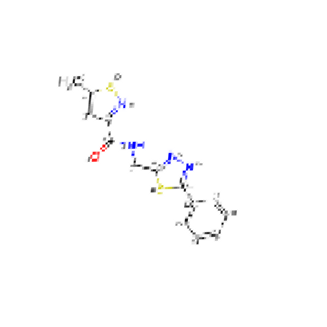 Cc1cc(C(=O)NCc2nnc(-c3ccccc3)s2)ns1